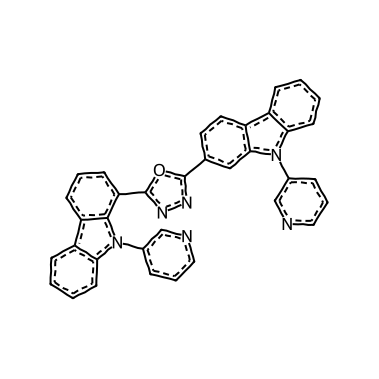 c1cncc(-n2c3ccccc3c3ccc(-c4nnc(-c5cccc6c7ccccc7n(-c7cccnc7)c56)o4)cc32)c1